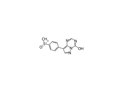 C[S+]([O-])c1ccc(-c2cnn3c(O)ncnc23)cc1